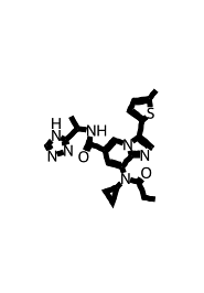 CCC(=O)N(c1cc(C(=O)NC(C)c2nnc[nH]2)cn2c(-c3ccc(C)s3)cnc12)C1CC1